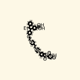 CC/C(=C(\c1ccc(OCCN2CCC(CCN3CCN(c4ccc5c(c4)CN(C4CCC(=O)NC4=O)C5=O)CC3)CC2)cc1)c1ccc(B(O)O)cc1)c1ccccc1